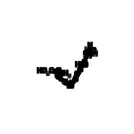 Nc1cc(CCCOCc2cn(CCOCCOCCOCCNC(=O)CCCC[C@@H]3SC[C@@H]4NC(=O)N[C@@H]43)nn2)ccc1C(=O)CCC(=O)O